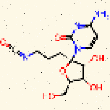 Nc1ccn([C@]2(CCCN=C=O)O[C@H](CO)[C@@H](O)[C@H]2O)c(=O)n1